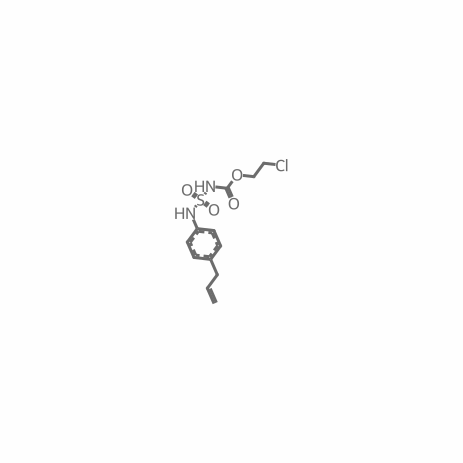 C=CCc1ccc(NS(=O)(=O)NC(=O)OCCCl)cc1